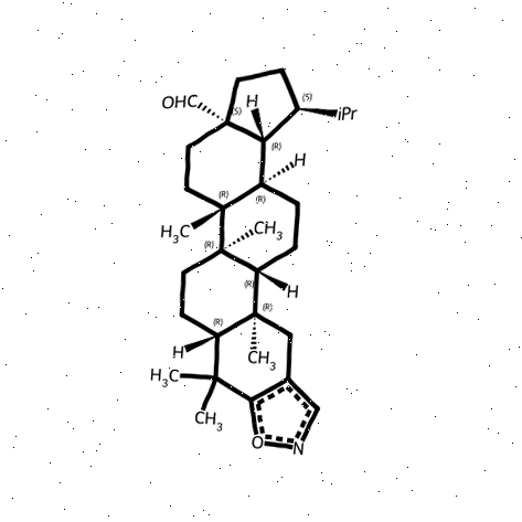 CC(C)[C@@H]1CC[C@]2(C=O)CC[C@]3(C)[C@H](CC[C@@H]4[C@@]5(C)Cc6cnoc6C(C)(C)[C@@H]5CC[C@]43C)[C@@H]12